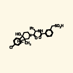 CC(C)[C@@H](NC(=O)c1cccc(CS(=O)(=O)O)c1)C(=O)N1CC[C@](O)(c2ccc(Cl)cc2)C(C)(C)C1